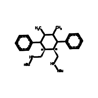 CCCCPC[C@@H]1C(c2ccccc2)C(C)C(C)C(c2ccccc2)[C@@H]1CPCCCC